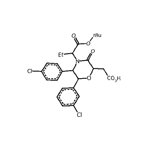 CCC(C(=O)OC(C)(C)C)N1C(=O)C(CC(=O)O)OC(c2cccc(Cl)c2)C1c1ccc(Cl)cc1